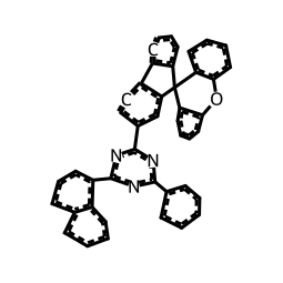 c1ccc(-c2nc(-c3ccc4c(c3)C3(c5ccccc5Oc5ccccc53)c3ccccc3-4)nc(-c3cccc4ccccc34)n2)cc1